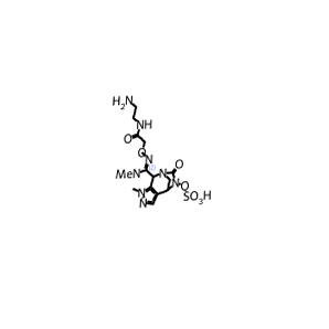 CN/C(=N\OCC(=O)NCCN)C1c2c(cnn2C)C2CN1C(=O)N2OS(=O)(=O)O